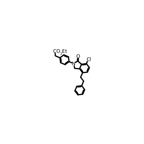 CCOC(=O)Cc1ccc(N2Cc3c(CCc4ccccc4)ccc(Cl)c3C2=O)cc1